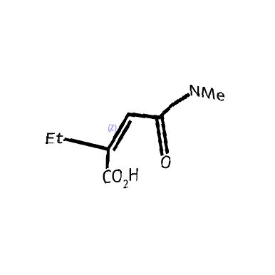 CC/C(=C/C(=O)NC)C(=O)O